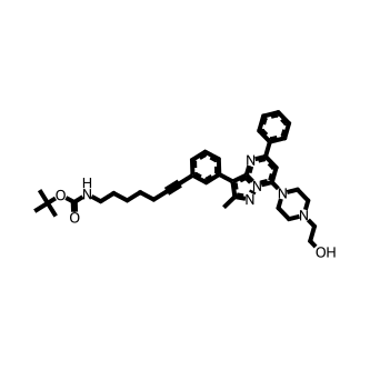 Cc1nn2c(N3CCN(CCO)CC3)cc(-c3ccccc3)nc2c1-c1cccc(C#CCCCCCNC(=O)OC(C)(C)C)c1